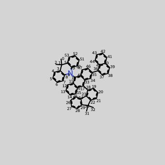 CC1(C)c2ccccc2N(c2c3ccccc3c(-c3cccc4c3-c3ccccc3C4(C)C)c3cc(-c4cccc5ccccc45)ccc23)c2ccccc21